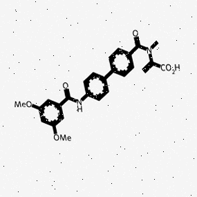 C=C(C(=O)O)N(C)C(=O)c1ccc(-c2ccc(NC(=O)c3cc(OC)cc(OC)c3)cc2)cc1